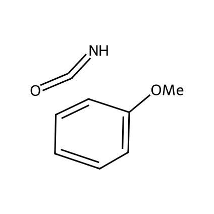 COc1ccccc1.N=C=O